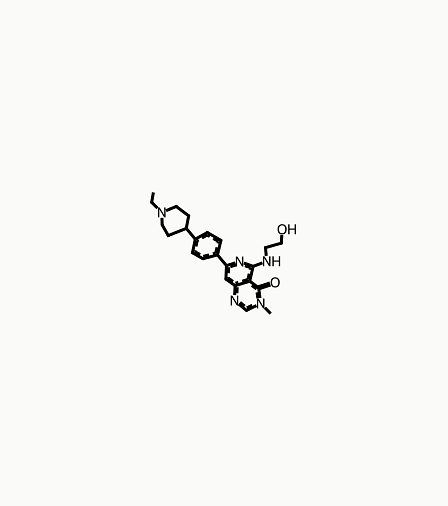 CCN1CCC(c2ccc(-c3cc4ncn(C)c(=O)c4c(NCCO)n3)cc2)CC1